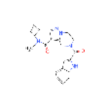 CN(C(=O)c1cnn2c1CN(C(=O)c1cc3ccccc3[nH]1)CC2)C1CCC1